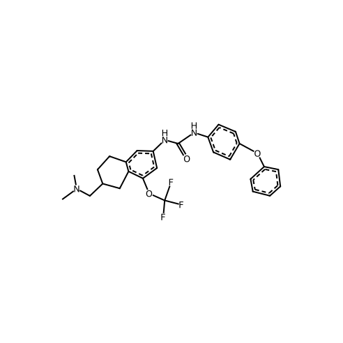 CN(C)CC1CCc2cc(NC(=O)Nc3ccc(Oc4ccccc4)cc3)cc(OC(F)(F)F)c2C1